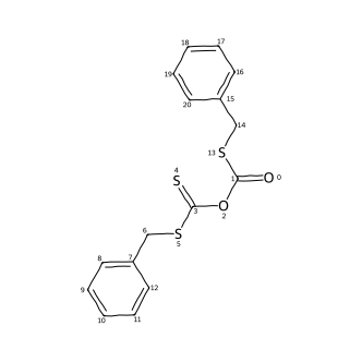 O=C(OC(=S)SCc1ccccc1)SCc1ccccc1